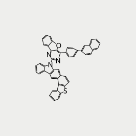 c1ccc2cc(-c3ccc(-c4nc(-n5c6ccccc6c6cc7c(ccc8sc9ccccc9c87)cc65)nc5c4oc4ccccc45)cc3)ccc2c1